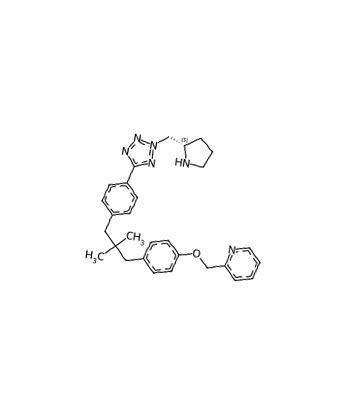 CC(C)(Cc1ccc(OCc2ccccn2)cc1)Cc1ccc(-c2nnn(C[C@@H]3CCCN3)n2)cc1